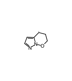 [CH]1CCOn2nccc21